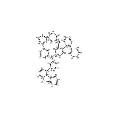 c1ccc(-c2cccc(N(c3cccc(-c4cccc5sc6ccccc6c45)c3)c3ccc4c5c(-c6ccccc6)cccc5n(-c5ccccc5)c4c3)c2)cc1